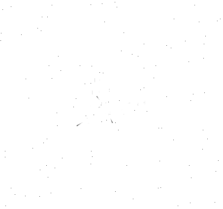 C[C@@H]1C[C@H]2OC(O)C[C@@H](O)[C@H]2O1